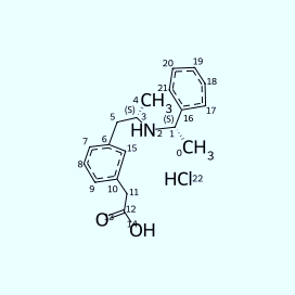 C[C@H](N[C@@H](C)Cc1cccc(CC(=O)O)c1)c1ccccc1.Cl